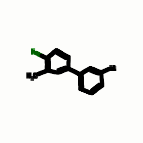 CCc1cccc(-c2ccc(F)c(C)c2)c1